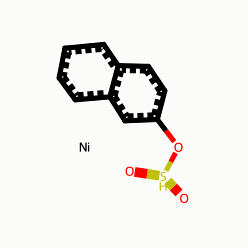 O=[SH](=O)Oc1ccc2ccccc2c1.[Ni]